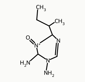 CCC(C)C1N=CN(N)C(N)[N+]1=O